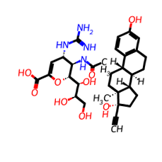 C#C[C@]1(O)CC[C@H]2[C@@H]3CCc4cc(O)ccc4[C@H]3CC[C@@]21C.CC(=O)N[C@H]1[C@H]([C@H](O)[C@H](O)CO)OC(C(=O)O)=C[C@@H]1NC(=N)N